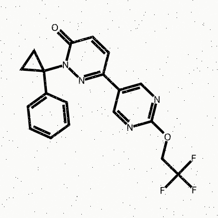 O=c1ccc(-c2cnc(OCC(F)(F)F)nc2)nn1C1(c2ccccc2)CC1